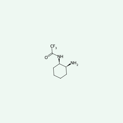 N[C@H]1CCCC[C@H]1NC(=O)C(F)(F)F